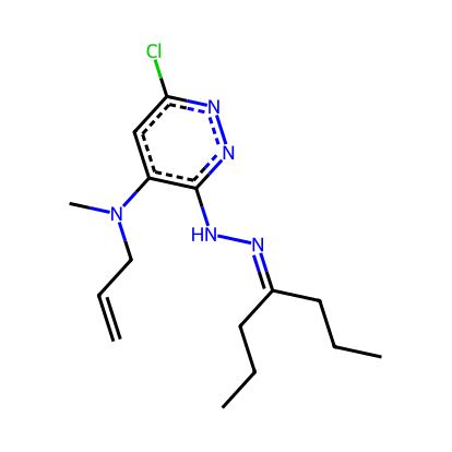 C=CCN(C)c1cc(Cl)nnc1NN=C(CCC)CCC